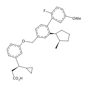 COc1ccc(F)c(-c2ccc(COc3cccc([C@H](CC(=O)O)C4CC4)c3)cc2[C@H]2CCC[C@H]2C)c1